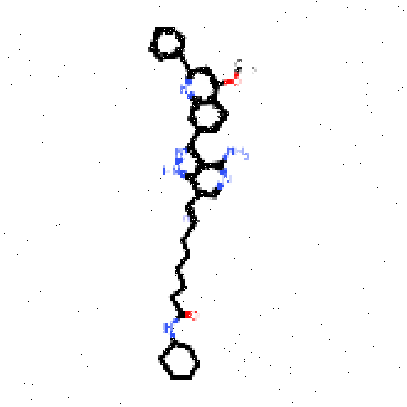 COc1cc(-c2ccccc2)nc2cc(-c3n[nH]c4c(/C=C/CCCCCC(=O)NC5CCCCC5)cnc(N)c34)ccc12